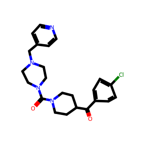 O=C(c1ccc(Cl)cc1)C1CCN(C(=O)N2CCN(Cc3ccncc3)CC2)CC1